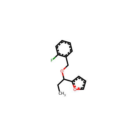 CCC(OCc1ccccc1F)c1ccco1